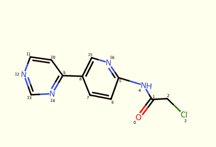 O=C(CCl)Nc1ccc(-c2ccncn2)cn1